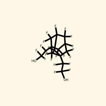 OC(F)(F)C(F)(F)C12C(F)(F)C3(F)C(F)(F)C(F)(C1(F)F)C(F)(F)C(C(F)(F)C(O)(F)F)(C3(F)F)C2(F)F